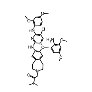 COc1ccc(N)c(OC)c1.COc1ccc(Nc2nc(Nc3cc4c(cc3OC)CCN(CC(=O)N(C)C)CC4)ncc2Cl)c(OC)c1